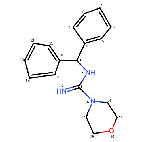 N=C(NC(c1ccccc1)c1ccccc1)N1CCOCC1